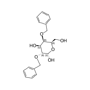 OC[C@H]1O[C@H](O)[C@H](OCc2ccccc2)[C@@H](O)[C@H]1OCc1ccccc1